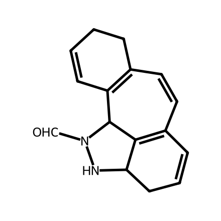 O=CN1NC2CC=CC3=C2C1C1=C(C=C3)CCC=C1